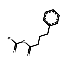 O=C(O)OC(=O)CCCc1ccccc1